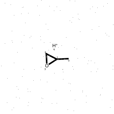 CC1CO1.[H+]